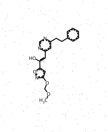 COCOc1cc(/C(O)=C/c2cc(CCc3ccccc3)ncn2)on1